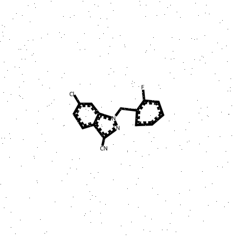 N#Cc1nn(Cc2ccccc2F)c2cc(Cl)ccc12